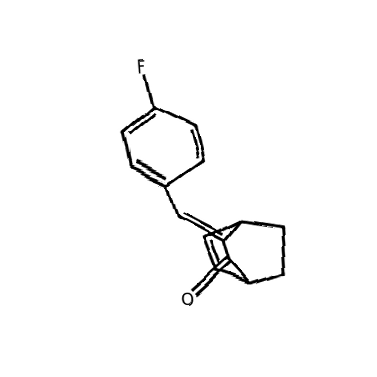 O=C1C(=Cc2ccc(F)cc2)C2C=CC1CC2